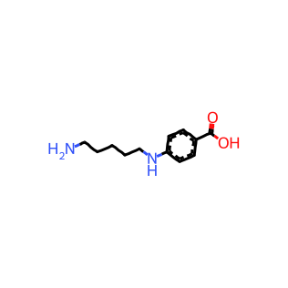 NCCCCCNc1ccc(C(=O)O)cc1